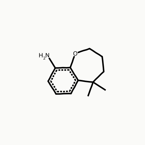 CC1(C)CCCOc2c(N)cccc21